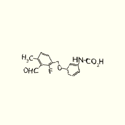 Cc1ccc(COc2cccc(NC(=O)O)c2)c(F)c1C=O